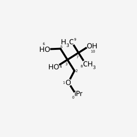 CC(C)OCC(O)(CO)C(C)(C)O